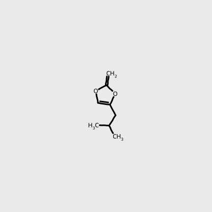 C=C1OC=C(CC(C)C)O1